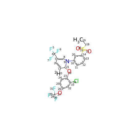 [2H]C1=CC(C(F)(F)F)=CN(c2cccc(S(=O)(=O)CC)c2)C1Oc1ccc(OC(F)(F)F)cc1Cl